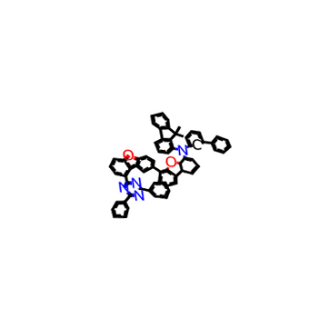 CC1(C)c2ccccc2-c2cccc(N(C3=CC=CC4c5cccc(-c6ccc7oc8cccc(-c9nc(-c%10ccccc%10)nc(-c%10ccccc%10)n9)c8c7c6)c5OC34)c3cccc(-c4ccccc4)c3)c21